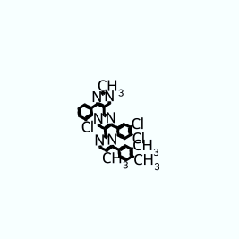 Cc1ncc(-c2ncc(-c3ncc(C)c(-c4ccc(C)c(C)c4)n3)c(-c3ccc(Cl)c(Cl)c3)n2)c(-c2cccc(Cl)c2)n1